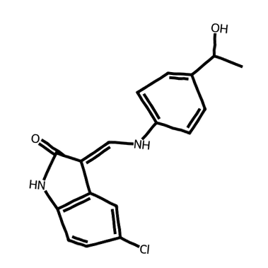 CC(O)c1ccc(N/C=C2/C(=O)Nc3ccc(Cl)cc32)cc1